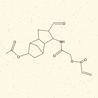 C=CC(=O)OCC(=O)NC1C(C=O)CC2C3CC(CC3OC(C)=O)C21